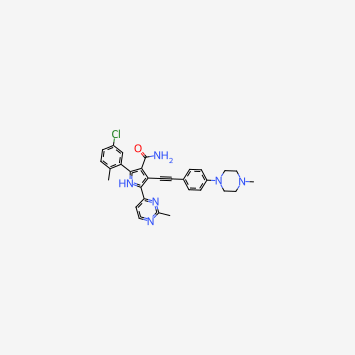 Cc1nccc(-c2[nH]c(-c3cc(Cl)ccc3C)c(C(N)=O)c2C#Cc2ccc(N3CCN(C)CC3)cc2)n1